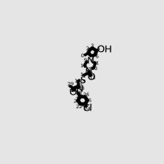 Cc1ccc(O)cc1N1CCN(C(=O)CSCc2nc(-c3ccc(Cl)cc3)oc2C)CC1